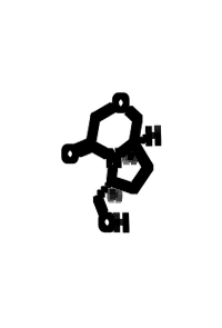 O=C1COC[C@H]2CC[C@H](CO)N12